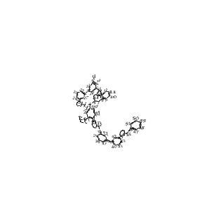 CCc1cc(CC(C)Cc2ccccc2OCc2cccc(-c3cccc(C)c3)c2)ccc1OCc1cccc(-c2cccc(OCc3ccccc3)c2)c1